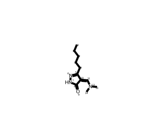 CCCCCC1=NNC(=O)C1=CN(C)C